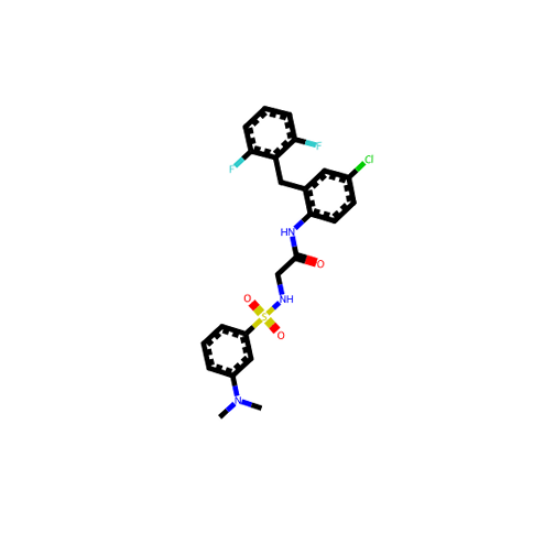 CN(C)c1cccc(S(=O)(=O)NCC(=O)Nc2ccc(Cl)cc2Cc2c(F)cccc2F)c1